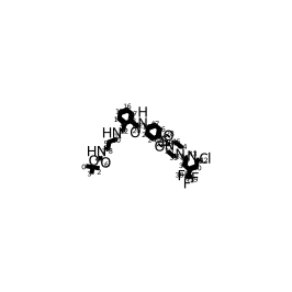 CC(C)(C)OC(=O)NCCCNCc1ccccc1C(=O)Nc1ccc(S(=O)(=O)N2CCN(c3cc(C(F)(F)F)cc(Cl)n3)CC2)cc1